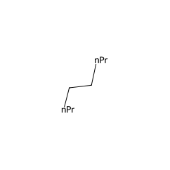 C[CH]CCCC[CH]C